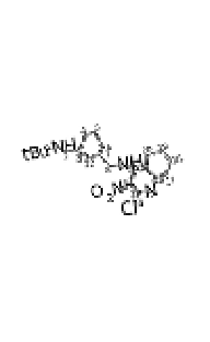 CC(C)(C)NCc1cccc(CNc2c([N+](=O)[O-])c(Cl)nc3ccccc23)c1